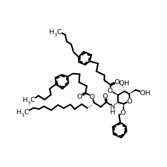 CCCCCCCCCCC[C@@H](CC(=O)N[C@H]1[C@H](OCc2ccccc2)O[C@H](CO)[C@@H](O)[C@@H]1OC(=O)CCCCc1ccc(CCCCC)cc1)OC(=O)CCCCc1ccc(CCCCC)cc1